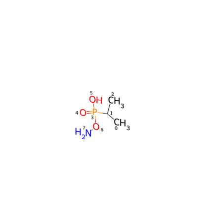 CC(C)P(=O)(O)ON